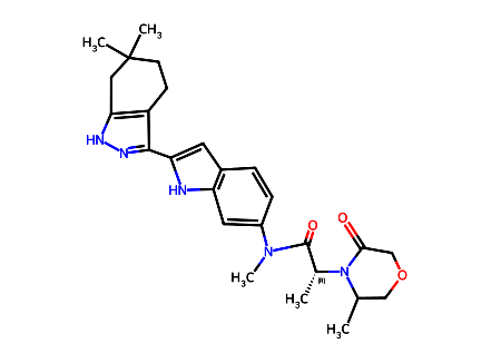 CC1COCC(=O)N1[C@H](C)C(=O)N(C)c1ccc2cc(-c3n[nH]c4c3CCC(C)(C)C4)[nH]c2c1